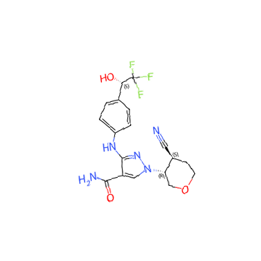 N#C[C@H]1CCOC[C@@H]1n1cc(C(N)=O)c(Nc2ccc([C@H](O)C(F)(F)F)cc2)n1